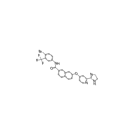 O=C(Nc1ccc(Br)c(C(F)(F)F)c1)c1ccc2ccc(Oc3ccnc(C4=NCCN4)c3)cc2c1